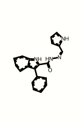 O=C(N/N=C\c1ccc[nH]1)c1[nH]c2ccccc2c1-c1ccccc1